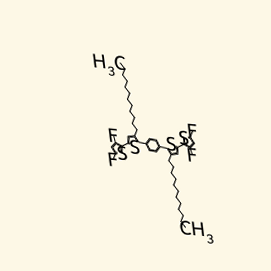 CCCCCCCCCCCCc1cc(-c2sc(F)cc2F)sc1-c1ccc(-c2sc(-c3sc(F)cc3F)cc2CCCCCCCCCCCC)cc1